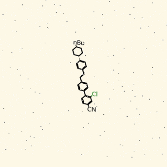 CCCC[C@H]1CC[C@H](c2ccc(CCc3ccc(-c4ccc(C#N)cc4Cl)cc3)cc2)CC1